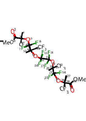 COC(=O)C(C)(OC(F)(F)C(C)(OC(F)(F)C(F)(F)OC(C)(C(F)(F)F)C(F)(F)OC(C)(C(=O)OC)C(F)(F)F)C(F)(F)F)C(F)(F)F